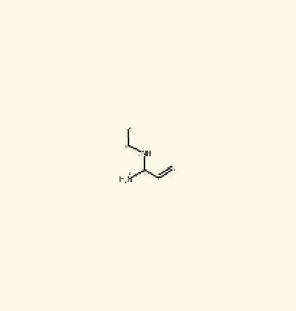 C=CC(N)NCC